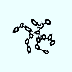 c1ccc(-c2cccc(-c3ccc4c(c3)c3cc(-c5cccc(-c6ccccc6)c5)ccc3n4-c3cc(-c4cc(-c5ccccc5)nc(-c5ccccc5)n4)cc(-n4c5ccc(-c6cccc(-c7ccccc7)c6)cc5c5cc(-c6cccc(-c7ccccc7)c6)ccc54)c3)c2)cc1